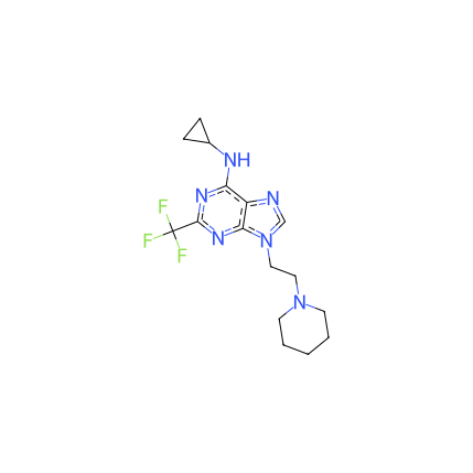 FC(F)(F)c1nc(NC2CC2)c2ncn(CCN3CCCCC3)c2n1